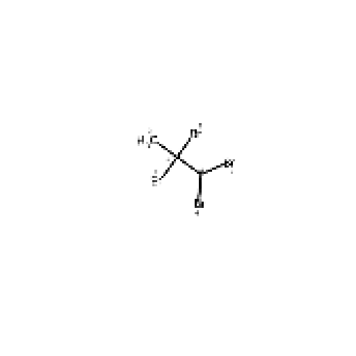 CC(Br)(Br)C(Br)Br